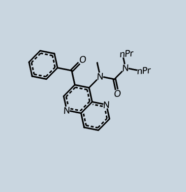 CCCN(CCC)C(=O)N(C)c1c(C(=O)c2ccccc2)cnc2cccnc12